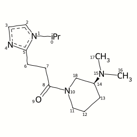 CC(C)n1ccnc1CCC(=O)N1CCC[C@H](N(C)C)C1